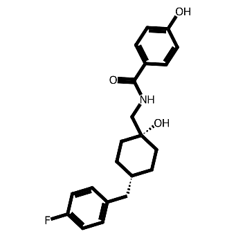 O=C(NC[C@]1(O)CC[C@@H](Cc2ccc(F)cc2)CC1)c1ccc(O)cc1